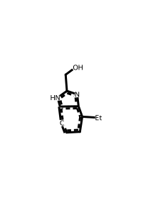 CCc1cccc2[nH]c(CO)nc12